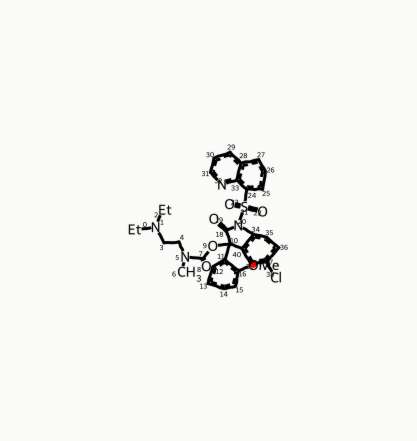 CCN(CC)CCN(C)C(=O)OC1(c2ccccc2OC)C(=O)N(S(=O)(=O)c2cccc3cccnc23)c2ccc(Cl)cc21